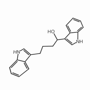 OC(CCCc1c[nH]c2ccccc12)c1c[nH]c2ccccc12